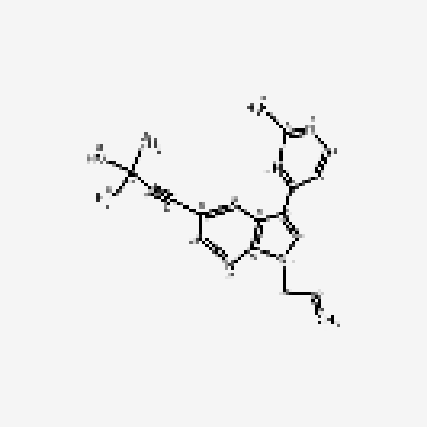 C=CCn1cc(-c2ccnc(N)n2)c2cc(C#CC(C)(C)O)cnc21